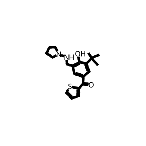 CC(C)(C)c1cc(C(=O)c2cccs2)cc(CNN2CCCC2)c1O